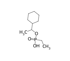 CCP(=O)(O)OC(C)C1CCCCC1